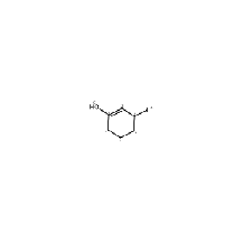 OC1=CC(I)CCC1